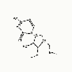 COC[C@H]1O[C@@H](n2ccc(N)nc2=O)C(O)C1OC